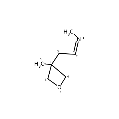 C/N=C\CC1(C)COC1